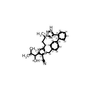 CCCCc1nc(C(O)C(C)C)c(C#N)n1Cc1ccc(-c2ccccc2-c2nnn[nH]2)cc1